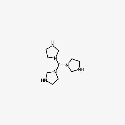 C1CN(P(N2CCNC2)N2CCNC2)CN1